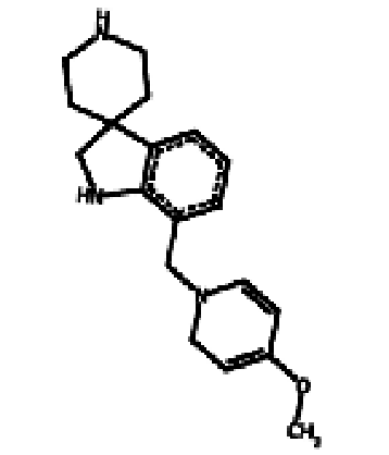 COC1=CCN(Cc2cccc3c2NCC32CCNCC2)C=C1